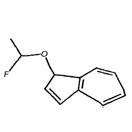 CC(F)OC1C=Cc2[c]cccc21